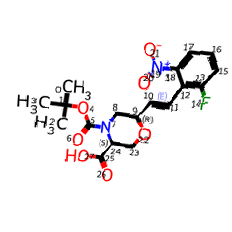 CC(C)(C)OC(=O)N1C[C@@H](/C=C/c2c(F)cccc2[N+](=O)[O-])OC[C@H]1C(=O)O